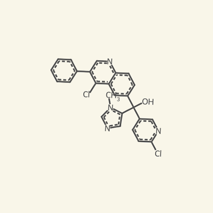 Cn1cncc1C(O)(c1ccc(Cl)nc1)c1ccc2ncc(-c3ccccc3)c(Cl)c2c1